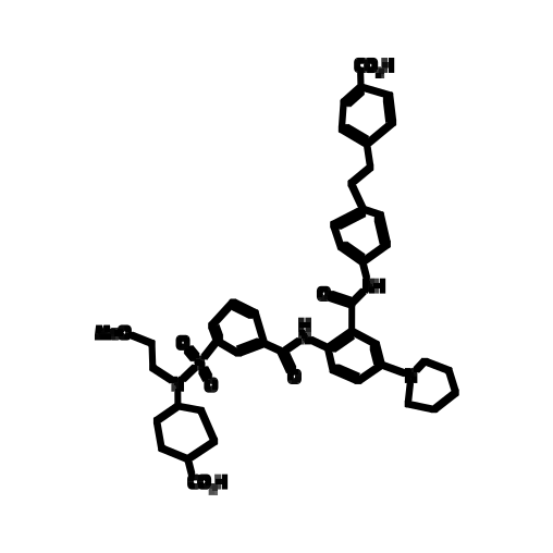 COCCN(C1CCC(C(=O)O)CC1)S(=O)(=O)c1cccc(C(=O)Nc2ccc(N3CCCCC3)cc2C(=O)Nc2ccc(CCc3ccc(C(=O)O)cc3)cc2)c1